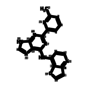 Cc1cccc(-c2nc(Nc3ccnc4ccoc34)c3nc[nH]c3n2)n1